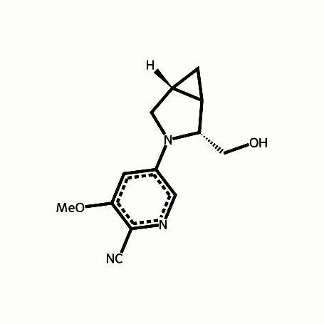 COc1cc(N2C[C@@H]3CC3[C@@H]2CO)cnc1C#N